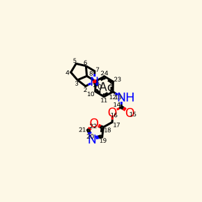 CC(=O)N1CC2CCC(C1)C2c1ccc(NC(=O)OCc2cnco2)cc1